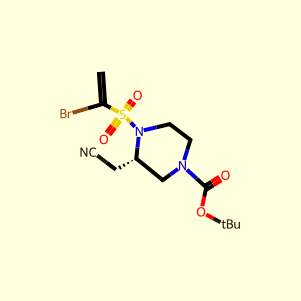 C=C(Br)S(=O)(=O)N1CCN(C(=O)OC(C)(C)C)C[C@@H]1CC#N